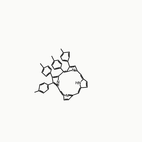 Cc1ccc(C2=Cc3cc4ccc(cc5nc(cc6[nH]c(c(-c7ccc(C)cc7)c2n3)c(-c2ccc(C)cc2)c6-c2ccc(C)cc2)C=C5)[nH]4)cc1